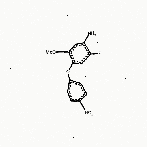 COc1cc(N)c(F)cc1Oc1ccc([N+](=O)[O-])cc1